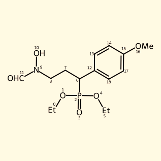 CCOP(=O)(OCC)C(CCN(O)C=O)c1ccc(OC)cc1